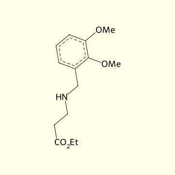 CCOC(=O)CCNCc1cccc(OC)c1OC